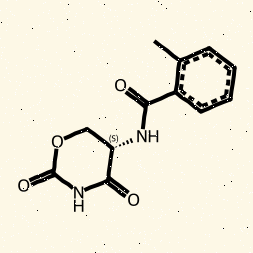 Cc1ccccc1C(=O)N[C@H]1COC(=O)NC1=O